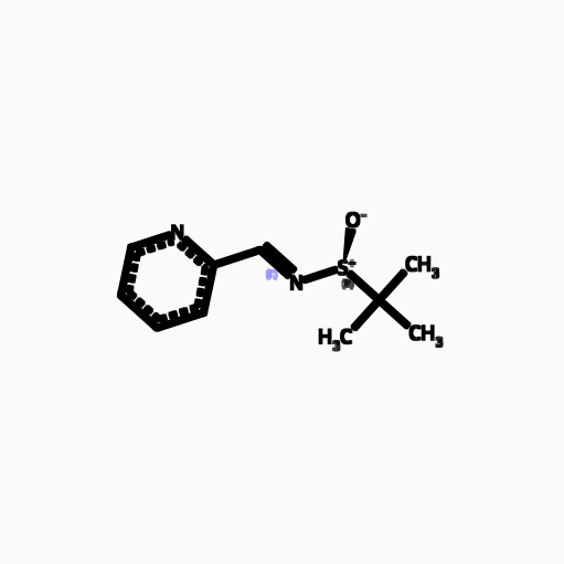 CC(C)(C)[S@+]([O-])/N=C/c1ccccn1